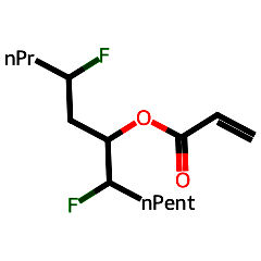 C=CC(=O)OC(CC(F)CCC)C(F)CCCCC